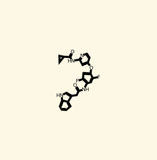 O=C(Cc1c[nH]c2ccccc12)Nc1cc(F)c(Oc2ccnc(NC(=O)C3CC3)c2)cc1F